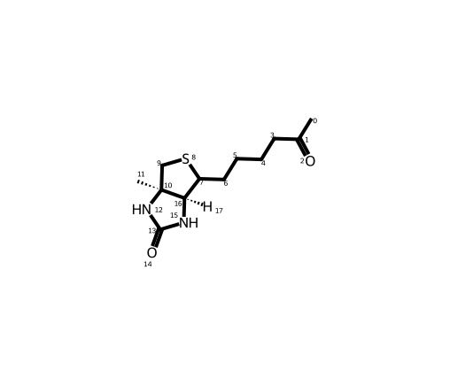 CC(=O)CCCCC1SC[C@]2(C)NC(=O)N[C@H]12